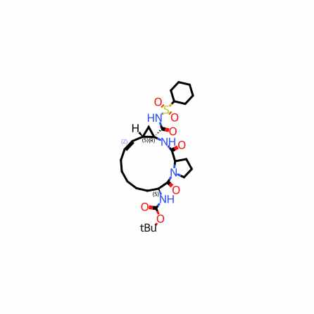 CC(C)(C)OC(=O)N[C@H]1CCCCC/C=C\[C@@H]2C[C@@]2(C(=O)NS(=O)(=O)C2CCCCC2)NC(=O)C2CCCN2C1=O